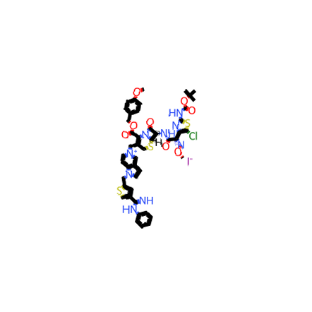 CO/N=C(\C(=O)N[C@@H]1C(=O)N2C(C(=O)OCc3ccc(OC)cc3)=C(C[n+]3ccc4c(ccn4Cc4cc(C(=N)Nc5ccccc5)cs4)c3)CS[C@H]12)c1nc(NC(=O)OC(C)(C)C)sc1Cl.[I-]